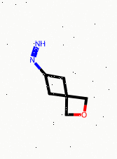 N=N[C]1CC2(COC2)C1